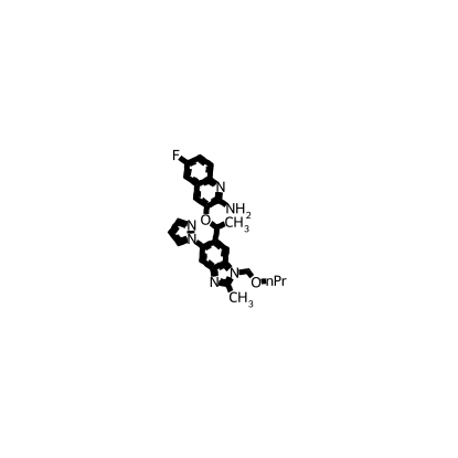 CCCOCn1c(C)nc2cc(-n3cccn3)c(C(C)Oc3cc4cc(F)ccc4nc3N)cc21